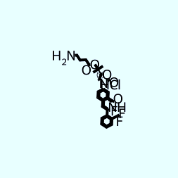 CC(C)(OC(=O)CCCN)[C@@H]1CN(c2ccc3cc(-c4ccccc4C(F)(F)F)[nH]c(=O)c3c2)C(=O)O1.Cl